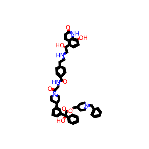 O=C(NCC(=O)N1CCC(c2cccc(C(O)(C(=O)OCC3CCN(Cc4ccccc4)CC3)c3ccccc3)c2)CC1)c1ccc(CCNCC(O)c2ccc(O)c3[nH]c(=O)ccc23)cc1